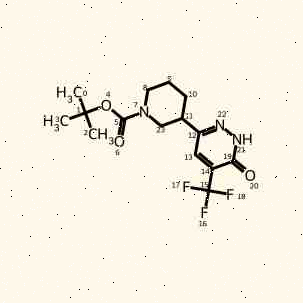 CC(C)(C)OC(=O)N1CCCC(c2cc(C(F)(F)F)c(=O)[nH]n2)C1